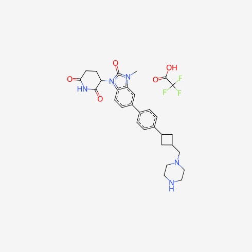 Cn1c(=O)n(C2CCC(=O)NC2=O)c2ccc(-c3ccc(C4CC(CN5CCNCC5)C4)cc3)cc21.O=C(O)C(F)(F)F